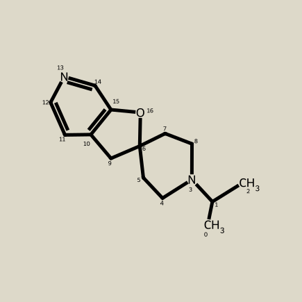 CC(C)N1CCC2(CC1)Cc1ccncc1O2